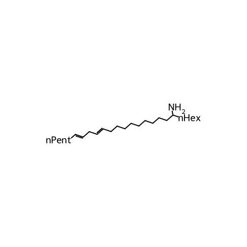 CCCCCC=CCC=CCCCCCCCCCC(N)CCCCCC